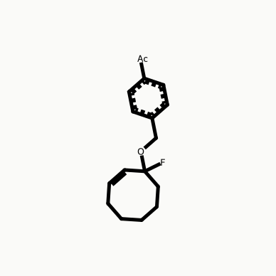 CC(=O)c1ccc(COC2(F)/C=C\CCCCC2)cc1